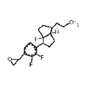 CCCC1CC[C@H]2C(c3ccc(C4CO4)c(F)c3F)CC[C@@H]12